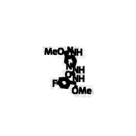 COC[C@@H](NC(=O)Nc1cc2[nH]nc(OC)c2cn1)c1ccc(F)cc1